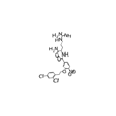 N=C(N)NCCCC(NC(=O)c1ccc([N+](=O)[O-])c(OCCc2ccc(Cl)cc2Cl)c1)C(N)=O